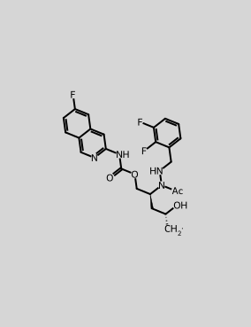 [CH2][C@@H](O)C[C@@H](COC(=O)Nc1cc2cc(F)ccc2cn1)N(NCc1cccc(F)c1F)C(C)=O